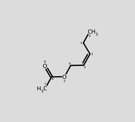 CC/C=C\COC(C)=O